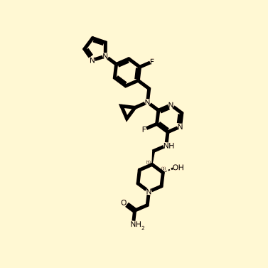 NC(=O)CN1CC[C@@H](CNc2ncnc(N(Cc3ccc(-n4cccn4)cc3F)C3CC3)c2F)[C@H](O)C1